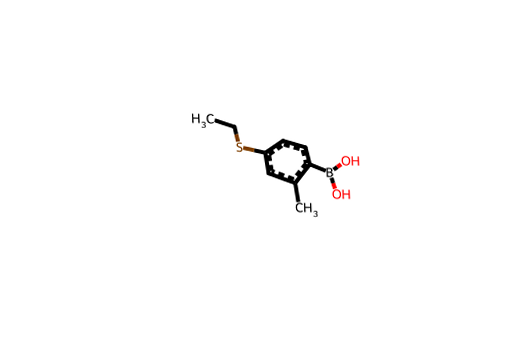 CCSc1ccc(B(O)O)c(C)c1